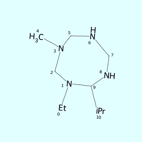 CCN1CN(C)CNCNC1C(C)C